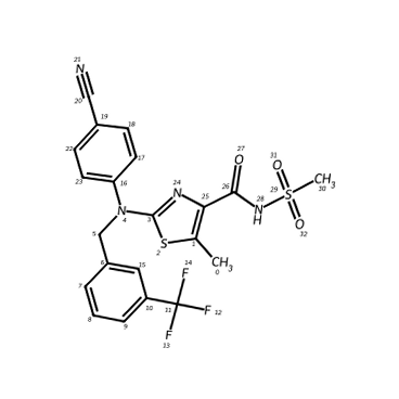 Cc1sc(N(Cc2cccc(C(F)(F)F)c2)c2ccc(C#N)cc2)nc1C(=O)NS(C)(=O)=O